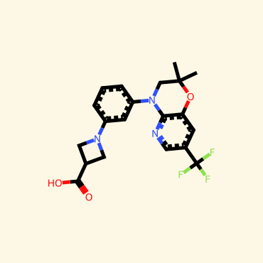 CC1(C)CN(c2cccc(N3CC(C(=O)O)C3)c2)c2ncc(C(F)(F)F)cc2O1